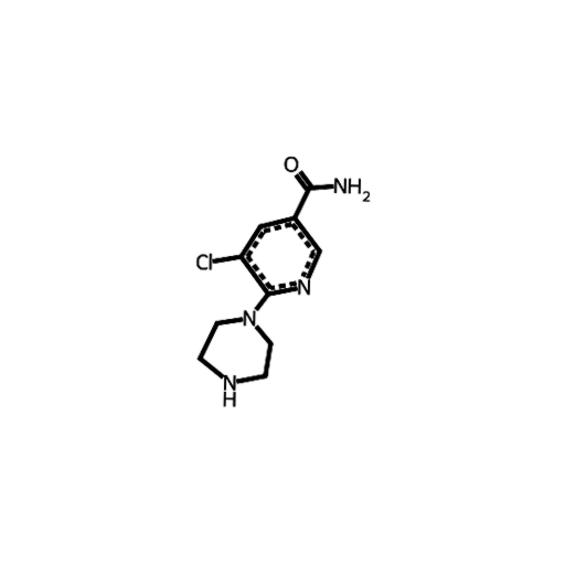 NC(=O)c1cnc(N2CCNCC2)c(Cl)c1